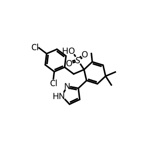 CC1=CC(C)(C)C=C(c2cc[nH]n2)C1(Cc1ccc(Cl)cc1Cl)S(=O)(=O)O